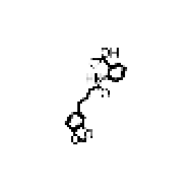 O=C(CCCc1ccc2c(c1)OCO2)Nc1ccccc1C(=O)O